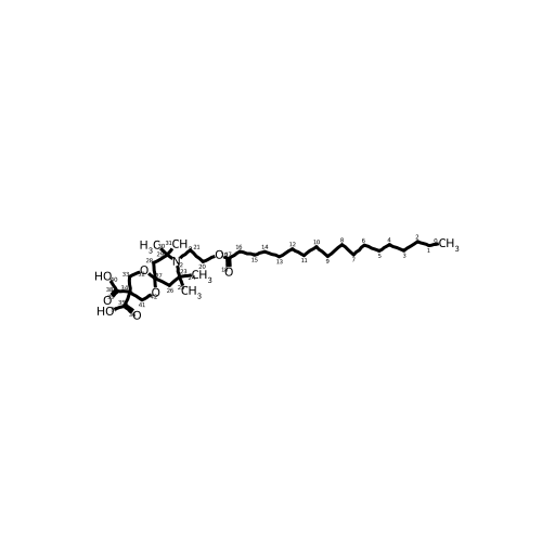 CCCCCCCCCCCCCCCCCC(=O)OCCN1C(C)(C)CC2(CC1(C)C)OCC(C(=O)O)(C(=O)O)CO2